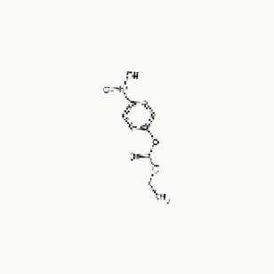 CCOC(=O)Oc1ccc([N+](=O)O)cc1